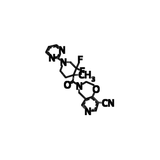 CC1(C(=O)N2CCOc3c(C#N)cncc3C2)CCN(c2ncccn2)CC1(F)F